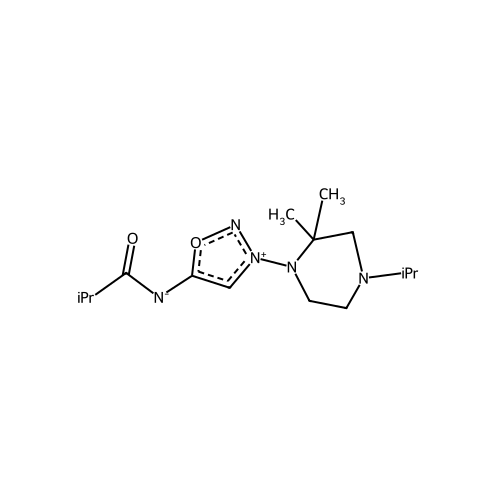 CC(C)C(=O)[N-]c1c[n+](N2CCN(C(C)C)CC2(C)C)no1